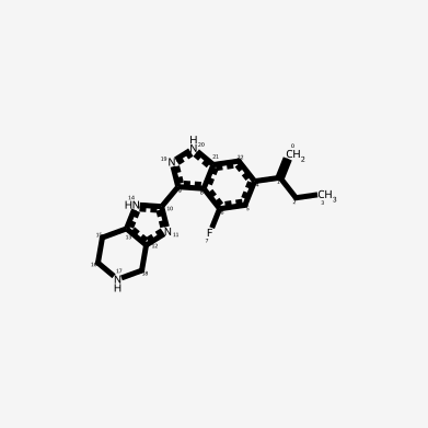 C=C(CC)c1cc(F)c2c(-c3nc4c([nH]3)CCNC4)n[nH]c2c1